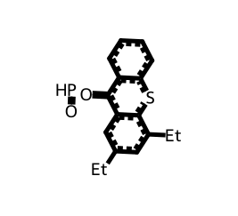 CCc1cc(CC)c2sc3ccccc3c(=O)c2c1.O=P